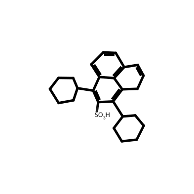 O=S(=O)(O)c1c(C2CCCCC2)c2c3c(cccc3c1C1CCCCC1)C=CC2